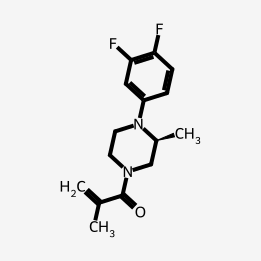 C=C(C)C(=O)N1CCN(c2ccc(F)c(F)c2)[C@@H](C)C1